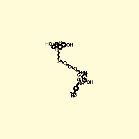 C=C(C)[C@H](NC(=O)CCOCCOCCOCCN(C)CCCCC[C@@H]1Cc2cc(O)ccc2[C@H]2CC[C@]3(C)[C@@H](O)CC[C@H]3[C@H]12)C(=O)N1C[C@H](O)C[C@H]1C(=O)NCc1ccc(-c2scnc2C)cc1